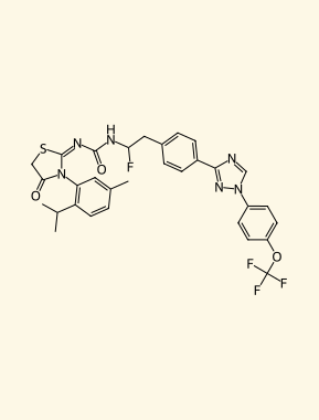 Cc1ccc(C(C)C)c(N2C(=O)CS/C2=N/C(=O)NC(F)Cc2ccc(-c3ncn(-c4ccc(OC(F)(F)F)cc4)n3)cc2)c1